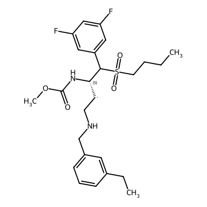 CCCCS(=O)(=O)C(c1cc(F)cc(F)c1)[C@H]([CH]CNCc1cccc(CC)c1)NC(=O)OC